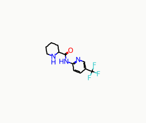 O=C(Nc1ccc(C(F)(F)F)cn1)C1CCCCN1